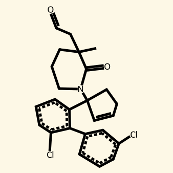 CC1(CC=O)CCCN(C2(c3cccc(Cl)c3-c3cccc(Cl)c3)C=CCC2)C1=O